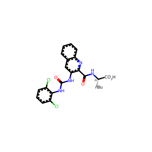 CCCC[C@H](NC(=O)c1nc2ccccc2cc1NC(=O)Nc1c(Cl)cccc1Cl)C(=O)O